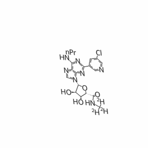 [2H]C([2H])([2H])NC(=O)[C@H]1O[C@@H](n2cnc3c(NCCC)nc(-c4cncc(Cl)c4)nc32)[C@H](O)[C@@H]1O